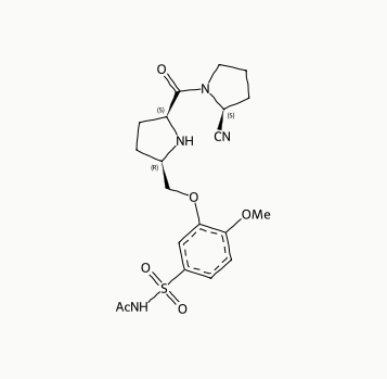 COc1ccc(S(=O)(=O)NC(C)=O)cc1OC[C@H]1CC[C@@H](C(=O)N2CCC[C@H]2C#N)N1